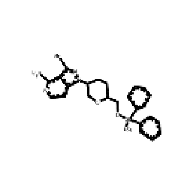 CC(C)(C)[Si](OCC1CCC(n2nc(Br)c3c(N)nccc32)CO1)(c1ccccc1)c1ccccc1